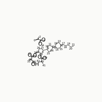 C=C(C)C(=O)OCC(CC1CCC(C2CCC(CCCCC)CC2)CC1)CC(COC(=O)C(=C)CO)COC(=O)C(C)C